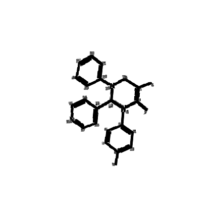 CC1=C(C)N(c2ccc(C)cc2)C(c2ccncc2)N(c2ccccc2)C1